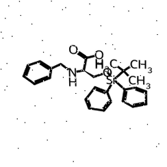 CC(C)(C)[Si](OC[C@@H](NCc1ccccc1)C(=O)O)(c1ccccc1)c1ccccc1